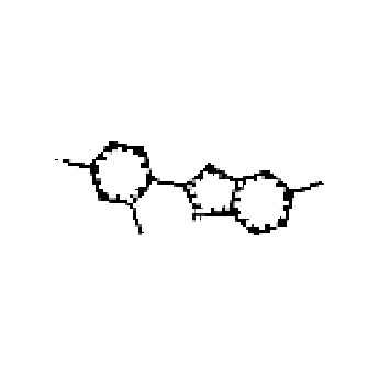 Cc1ccc2[nH]c(-c3ccc(F)cc3C)cc2c1